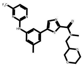 Cc1cc(Nc2nccc(C(F)(F)F)n2)cc(-c2cnc(C(=O)N(C)CC3COCCO3)s2)c1